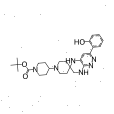 CC(C)(C)OC(=O)N1CCC(N2CCC3(CC2)CNc2nnc(-c4ccccc4O)cc2N3)CC1